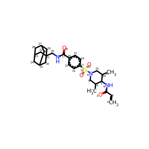 C=CC(=O)NC1C(C)CN(S(=O)(=O)c2ccc(C(=O)NCC34CC5CC(CC(C5)C3)C4)cc2)CC1C